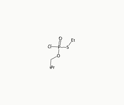 CCSP(=O)(Cl)OCC(C)C